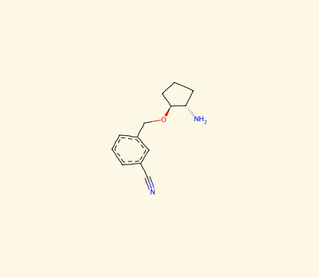 N#Cc1cccc(CO[C@H]2CCC[C@@H]2N)c1